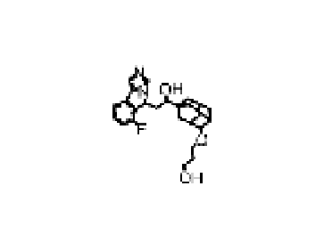 OCCCOC1C2CC3CC1CC(C(O)CC1c4c(F)cccc4-c4cncn41)(C3)C2